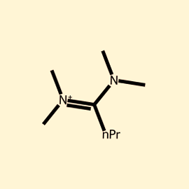 CCCC(N(C)C)=[N+](C)C